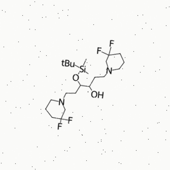 CC(C)(C)[Si](C)(C)OC(CCN1CCCC(F)(F)C1)C(O)CCN1CCCC(F)(F)C1